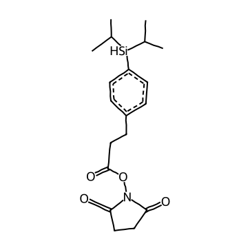 CC(C)[SiH](c1ccc(CCC(=O)ON2C(=O)CCC2=O)cc1)C(C)C